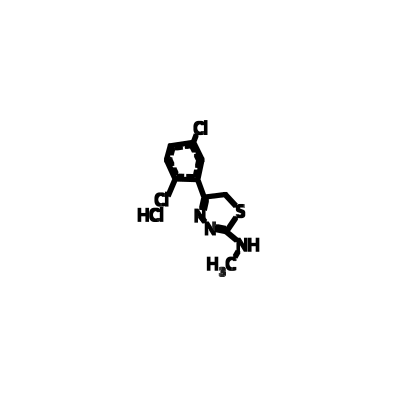 CNC1=NN=C(c2cc(Cl)ccc2Cl)CS1.Cl